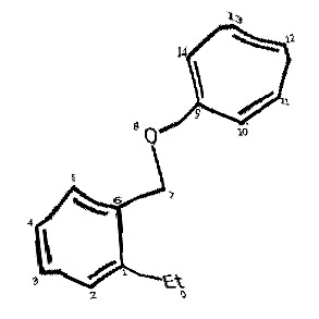 CCc1ccccc1COc1[c]cccc1